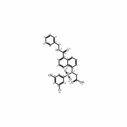 O=C(O)CN(c1cccc2c(C(=O)NCc3cccnc3)cccc12)S(=O)(=O)c1cc(Cl)cc(Cl)c1